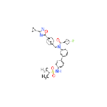 CC(C)S(=O)(=O)Nc1ccc(-c2cccc(N(CC34CCC(c5nc(C6CC6)no5)(CC3)CC4)C(=O)C34CC(F)(C3)C4)c2)cc1